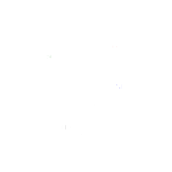 CCC1(CC)CNc2c(OC)cc(Br)cc21